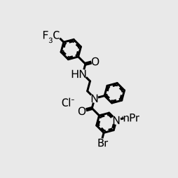 CCC[n+]1cc(Br)cc(C(=O)N(CCNC(=O)c2ccc(C(F)(F)F)cc2)c2ccccc2)c1.[Cl-]